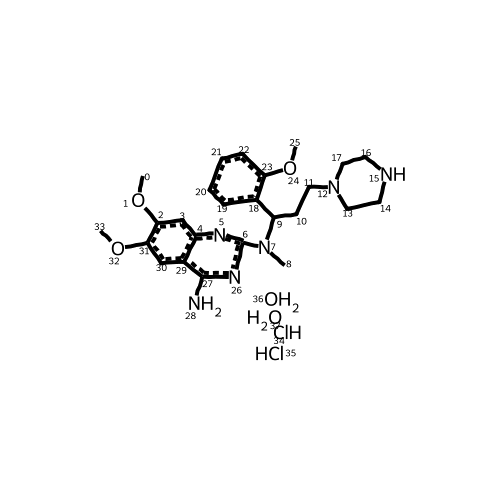 COc1cc2nc(N(C)C(CCN3CCNCC3)c3ccccc3OC)nc(N)c2cc1OC.Cl.Cl.O.O